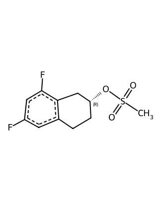 CS(=O)(=O)O[C@@H]1CCc2cc(F)cc(F)c2C1